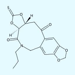 CCCN1Cc2cc3c(cc2C(=O)C[C@H]2OC(=S)O[C@@H]2C1=O)OCO3